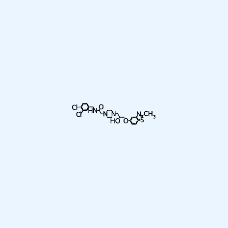 Cc1nc2cc(OCC(O)CN3CCN(CC(=O)NCc4ccc(Cl)c(Cl)c4)CC3)ccc2s1